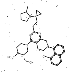 CC1CCCN1C1(COc2nc3c(c(N4CCN(C(=O)O)[C@@H](CC#N)C4)n2)CCN(c2cccc4cccc(Cl)c24)C3)CC1